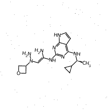 C[C@H](Nc1nc(N/C(N)=C/N(N)C2COC2)nc2[nH]ccc12)C1CC1